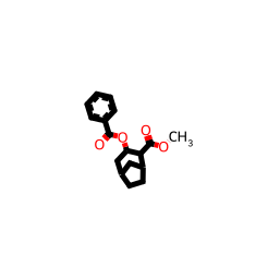 COC(=O)C1C2CCC(C2)CC1OC(=O)c1ccccc1